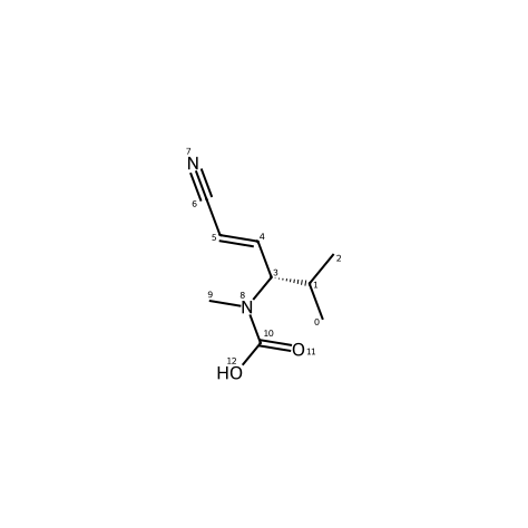 CC(C)[C@@H](C=CC#N)N(C)C(=O)O